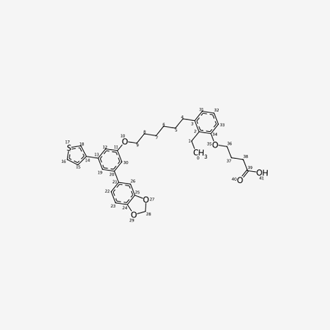 CCc1c(CCCCCCOc2cc(-c3ccsc3)cc(-c3ccc4c(c3)OCO4)c2)cccc1OCCCC(=O)O